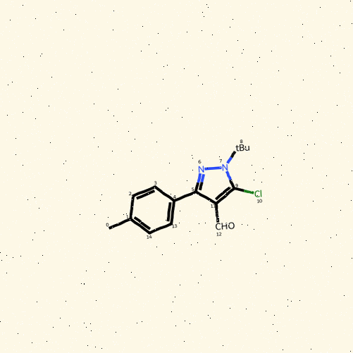 Cc1ccc(-c2nn(C(C)(C)C)c(Cl)c2C=O)cc1